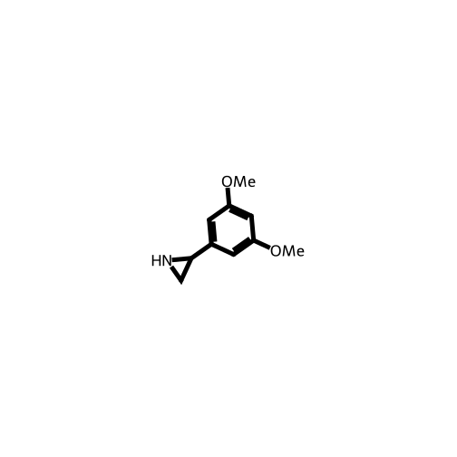 COc1cc(OC)cc(C2CN2)c1